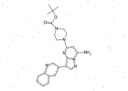 CC(C)(C)OC(=O)N1CCN(c2cc(N)n3ncc(-c4cnc5ccccc5c4)c3n2)CC1